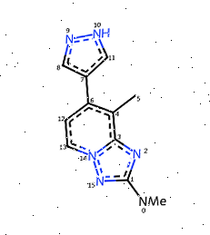 CNc1nc2c(C)c(-c3cn[nH]c3)ccn2n1